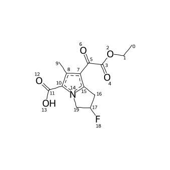 CCOC(=O)C(=O)c1c(C)c(C(=O)O)n2c1CC(F)C2